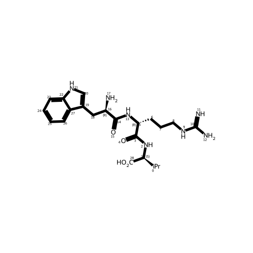 CC(C)[C@H](NC(=O)[C@@H](CCCNC(=N)N)NC(=O)[C@H](N)Cc1c[nH]c2ccccc12)C(=O)O